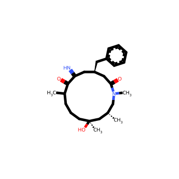 CC1CCC[C@](C)(O)C[C@@H](C)CN(C)C(=O)C[C@H](Cc2ccccc2)CC(=N)C1=O